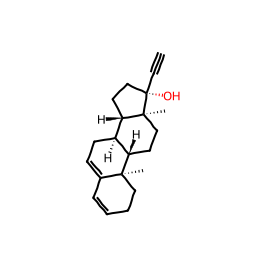 C#C[C@]1(O)CC[C@H]2[C@@H]3CC=C4C=CCC[C@]4(C)[C@H]3CC[C@@]21C